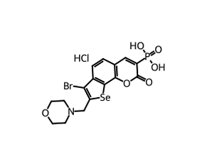 Cl.O=c1oc2c(ccc3c(Br)c(CN4CCOCC4)[se]c32)cc1P(=O)(O)O